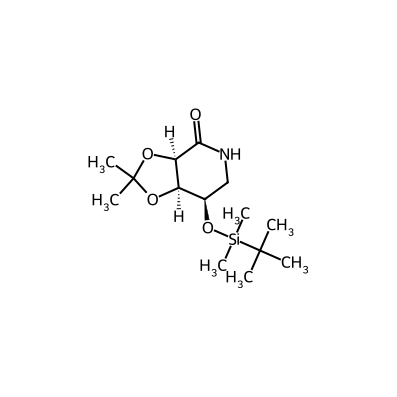 CC1(C)O[C@@H]2[C@H](O[Si](C)(C)C(C)(C)C)CNC(=O)[C@@H]2O1